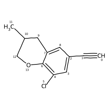 C#Cc1cc(Cl)c2c(c1)CC(C)CO2